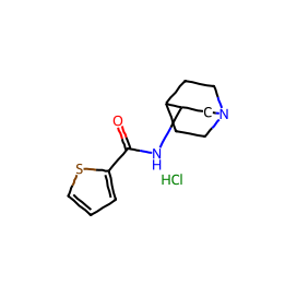 Cl.O=C(NC1CN2CCC1CC2)c1cccs1